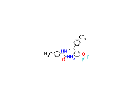 Cc1ccc([C@H](NCC[C@H](c2ccc(C(F)(F)F)cc2)c2cccc(OC(F)F)c2)C(N)=O)cc1